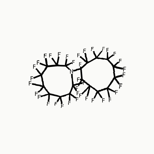 FC1(F)N(C2(F)C(F)(F)C(F)(F)C(F)(F)C(F)(F)C(F)(F)C(F)(F)C(F)(F)C(F)(F)C2(F)F)C(F)(F)C(F)(F)C(F)(F)C(F)(F)C(F)(F)C(F)(F)C(F)(F)C1(F)F